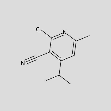 Cc1cc(C(C)C)c(C#N)c(Cl)n1